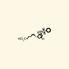 O=C(O)CCC/C=C\C[C@H]1C[C@@H]2C[C@H]1[C@@H](NS(=O)(=O)c1ccccc1)C2